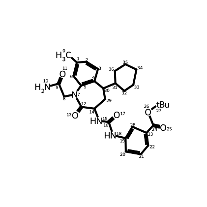 Cc1ccc2c(c1)N(CC(N)=O)C(=O)C(NC(=O)Nc1cccc(C(=O)OC(C)(C)C)c1)CC2C1CCCCC1